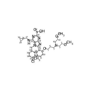 COCCN(CCCOc1ccc(C)cc1-c1nc2nc(C(=O)O)nc(NCC3CC3)c2n1Cc1ccc(Cl)cc1)CCOC